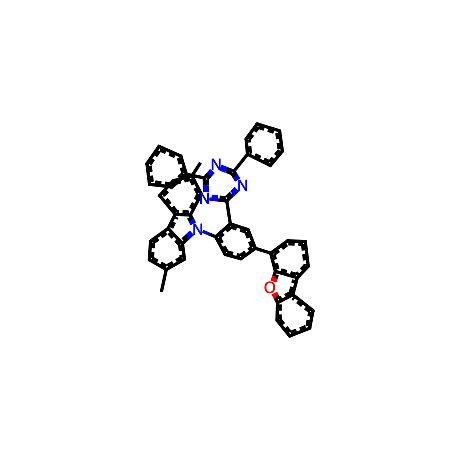 Cc1ccc2c3ccc(C)cc3n(-c3ccc(-c4cccc5c4oc4ccccc45)cc3-c3nc(-c4ccccc4)nc(-c4ccccc4)n3)c2c1